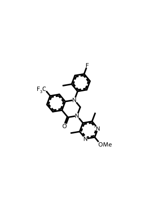 COc1nc(C)c(N2CN(c3ccc(F)cc3C)c3cc(C(F)(F)F)ccc3C2=O)c(C)n1